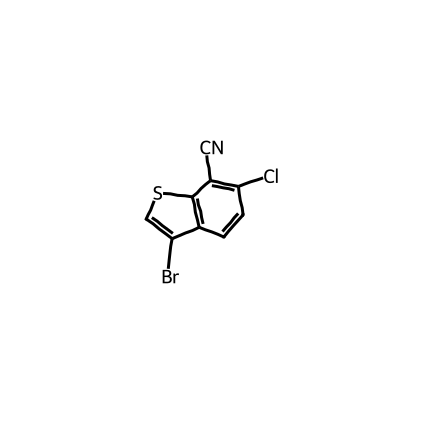 N#Cc1c(Cl)ccc2c(Br)csc12